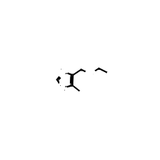 CCOCc1nc[nH]c1C